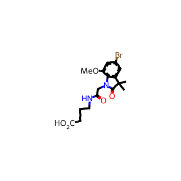 COc1cc(Br)cc2c1N(CC(=O)NCCCC(=O)O)C(=O)C2(C)C